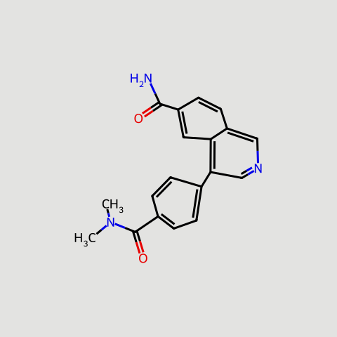 CN(C)C(=O)c1ccc(-c2cncc3ccc(C(N)=O)cc23)cc1